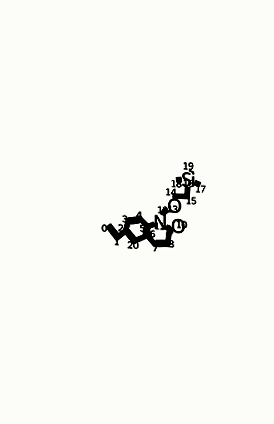 C=Cc1ccc2c(ccc(=O)n2COCC[Si](C)(C)C)c1